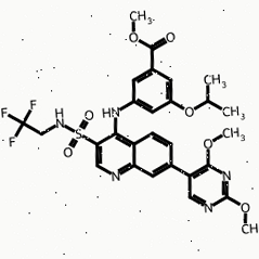 COC(=O)c1cc(Nc2c(S(=O)(=O)NCC(F)(F)F)cnc3cc(-c4cnc(OC)nc4OC)ccc23)cc(OC(C)C)c1